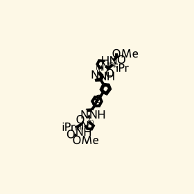 COC(=O)N[C@H](C(=O)N1CCC[C@H]1c1ncc(C23CCC(c4cccc(-c5cnc([C@@H]6CCCN6C(=O)[C@H](NC(=O)OC)C(C)C)[nH]5)c4)(CC2)CC3)[nH]1)C(C)C